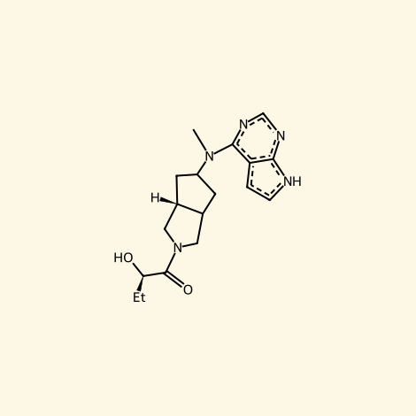 CC[C@@H](O)C(=O)N1CC2CC(N(C)c3ncnc4[nH]ccc34)C[C@H]2C1